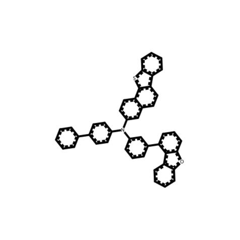 c1ccc(-c2ccc(N(c3cccc(-c4cccc5oc6ccccc6c45)c3)c3ccc4c(ccc5c6ccccc6sc45)c3)cc2)cc1